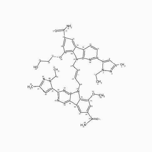 CCn1nc(C)cc1-c1ccc2c3cc(C(N)=O)cc(OCCCO)c3n(C/C=C/Cn3c4nc(-c5cc(C)nn5CC)ncc4c4cc(C(N)=O)cc(OC)c43)c2n1